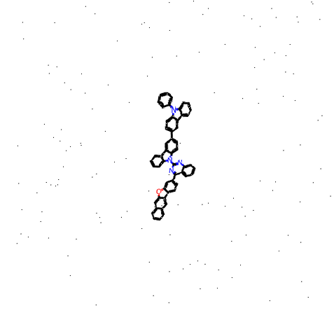 c1ccc(-n2c3ccccc3c3cc(-c4ccc5c(c4)c4ccccc4n5-c4nc(-c5ccc6c(c5)oc5cc7ccccc7cc56)c5ccccc5n4)ccc32)cc1